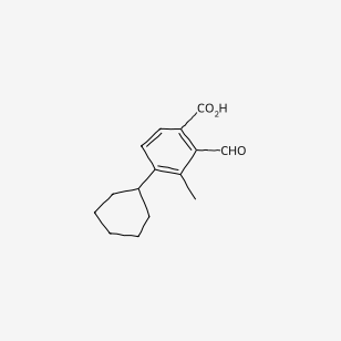 Cc1c(C2CCCCC2)ccc(C(=O)O)c1C=O